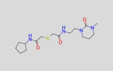 CN1CCCN(CCNC(=O)CSCC(=O)NC2CCCC2)C1=O